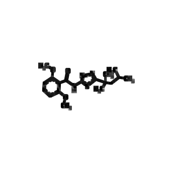 COc1cccc(OC)c1C(=O)Nc1nnc(C(C)(C)CC(C)C)s1